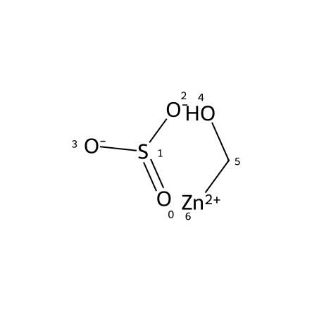 O=S([O-])[O-].O[CH2][Zn+2]